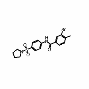 Cc1ccc(C(=O)Nc2ccc(S(=O)(=O)N3CCCC3)cc2)cc1Br